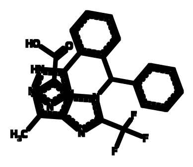 Cc1sc(C(=O)O)c2c1nc(C(F)(F)F)n2C(c1ccccc1)c1ccccc1-c1nnn[nH]1